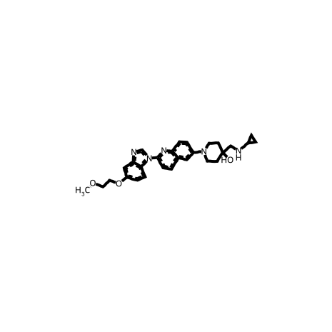 COCCOc1ccc2c(c1)ncn2-c1ccc2cc(N3CCC(O)(CNC4CC4)CC3)ccc2n1